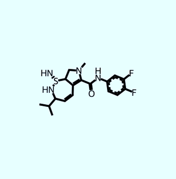 CC(C)C1C=CC2=C(C(=O)Nc3ccc(F)c(F)c3)N(C)CC2S(=N)N1